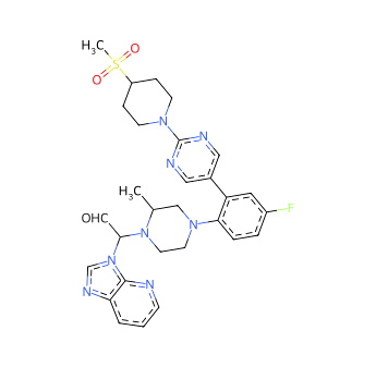 CC1CN(c2ccc(F)cc2-c2cnc(N3CCC(S(C)(=O)=O)CC3)nc2)CCN1C(C=O)n1cnc2cccnc21